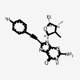 [3H]c1ccc(C#Cc2nc3c(=O)[nH]c(N)nc3n2[C@@H]2O[C@H](CC)[C@H](C)C2C)cc1